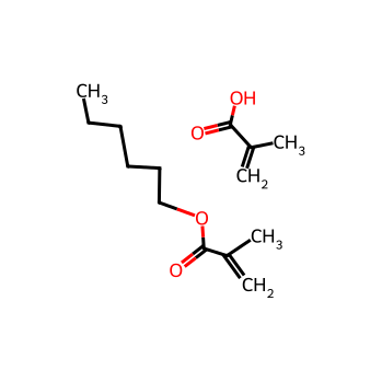 C=C(C)C(=O)O.C=C(C)C(=O)OCCCCCC